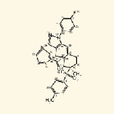 Cc1ccc(S(=O)(=O)[C@]2(C)CCC3=Cc4c(cnn4-c4ccc(F)cc4)C[C@]3(C(=O)c3ccccn3)C2)cc1